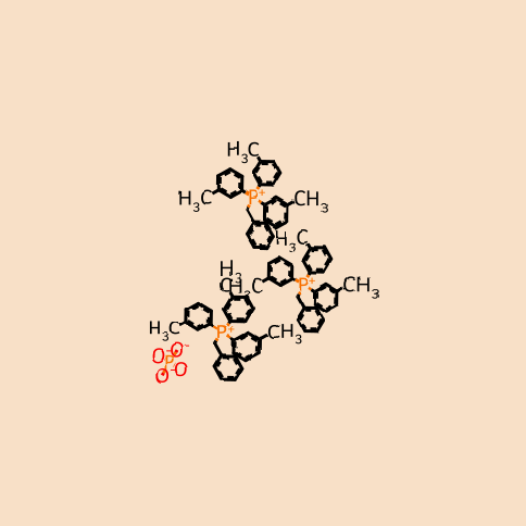 Cc1cccc([P+](Cc2ccccc2)(c2cccc(C)c2)c2cccc(C)c2)c1.Cc1cccc([P+](Cc2ccccc2)(c2cccc(C)c2)c2cccc(C)c2)c1.Cc1cccc([P+](Cc2ccccc2)(c2cccc(C)c2)c2cccc(C)c2)c1.O=P([O-])([O-])[O-]